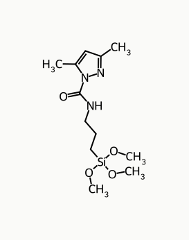 CO[Si](CCCNC(=O)n1nc(C)cc1C)(OC)OC